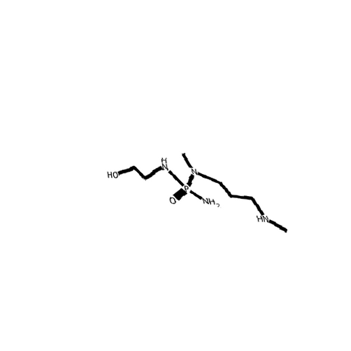 CNCCCN(C)P(N)(=O)NCCO